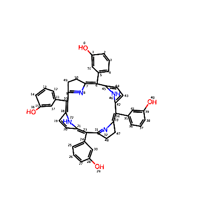 Oc1cccc(-c2c3nc(c(-c4cccc(O)c4)c4ccc([nH]4)c(-c4cccc(O)c4)c4nc(c(-c5cccc(O)c5)c5ccc2[nH]5)CC4)CC3)c1